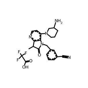 CC1C(=O)N(Cc2cccc(C#N)c2)c2c(N3CCCC(N)C3)ccnc21.O=C(O)C(F)(F)F